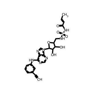 C#Cc1cccc(Nc2ncnc3c2ncn3C2OC(CNS(=O)(=O)NC(=O)/C=C/C)C(O)C2O)c1